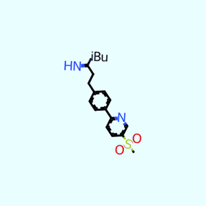 CCC(C)C(=N)CCc1ccc(-c2ccc(S(C)(=O)=O)cn2)cc1